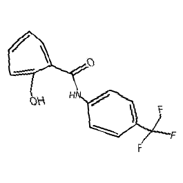 O=C(Nc1ccc(C(F)(F)F)cc1)c1ccccc1O